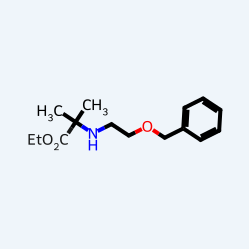 CCOC(=O)C(C)(C)NCCOCc1ccccc1